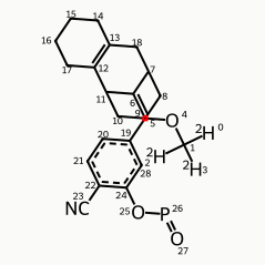 [2H]C([2H])([2H])O/C(=C1\C2CCCC1C1=C(CCCC1)C2)c1ccc(C#N)c(OP=O)c1